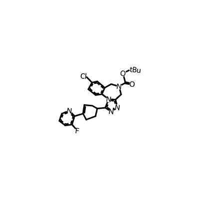 CC(C)(C)OC(=O)N1Cc2cc(Cl)ccc2-n2c(nnc2C2CC=C(c3ncccc3F)CC2)C1